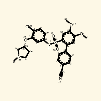 COc1cc(-c2ccc(C#N)cc2)c(S(=O)(=O)Nc2ccc(Cl)c(O[C@@H]3CCN(C)C3)c2)cc1OC